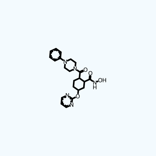 O=C(NO)C1CC(Oc2ncccn2)CCC1C(=O)N1CCN(c2ccccc2)CC1